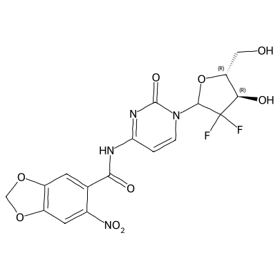 O=C(Nc1ccn(C2O[C@H](CO)[C@@H](O)C2(F)F)c(=O)n1)c1cc2c(cc1[N+](=O)[O-])OCO2